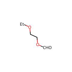 [CH2]COCCOC=O